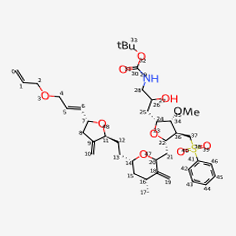 C=CCOC/C=C/[C@H]1CC(=C)[C@H](CC[C@H]2C[C@@H](C)C(=C)C(C[C@@H]3O[C@H](CC(O)CNC(=O)OC(C)(C)C)[C@H](OC)[C@H]3CS(=O)(=O)c3ccccc3)O2)O1